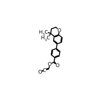 CC1(C)CCOc2ccc(-c3ccc(C(=O)OC=C=O)cc3)cc21